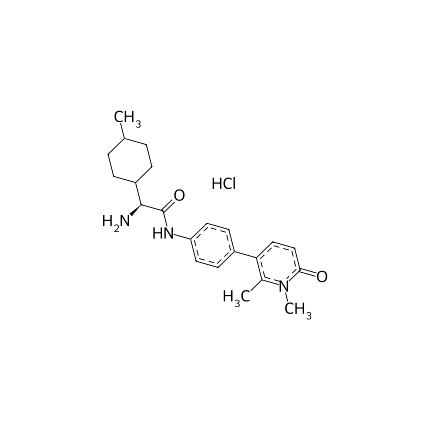 Cc1c(-c2ccc(NC(=O)[C@@H](N)C3CCC(C)CC3)cc2)ccc(=O)n1C.Cl